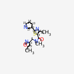 Cc1cc(CN(C)C(=O)c2sc(-c3cccnc3)nc2C)no1